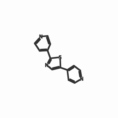 c1cc(-c2cnc(-c3ccncc3)s2)ccn1